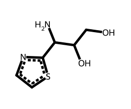 NC(c1nccs1)C(O)CO